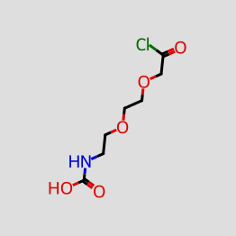 O=C(Cl)COCCOCCNC(=O)O